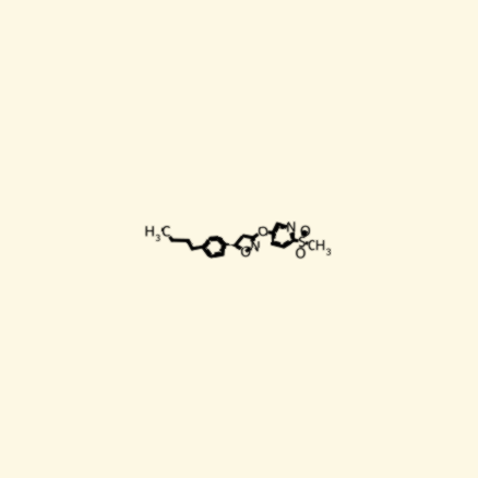 CCCCc1ccc([C@H]2CC(Oc3ccc(S(C)(=O)=O)nc3)=NO2)cc1